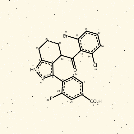 O=C(O)c1ccc(-c2n[nH]c3c2C(C(=O)c2c(Cl)cccc2Br)CCC3)c(F)c1